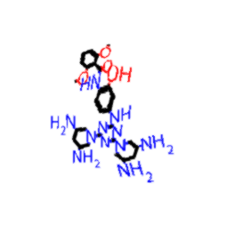 COc1cccc(OC)c1C(=O)Nc1ccc(Nc2nc(N3C[C@H](N)C[C@H](N)C3)nc(N3C[C@H](N)C[C@H](N)C3)n2)cc1O